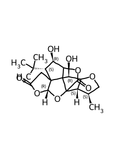 C[C@@H]1COC2[C@H]1C13O[C@@H]4OC(=O)CC45[C@H](C(C)(C)C)[C@@H](O)C(OC1=O)C35[C@H]2O